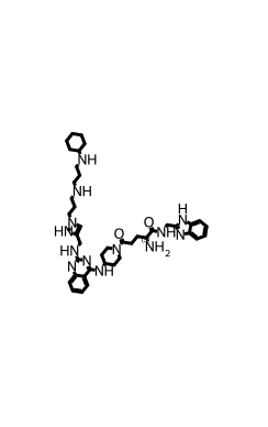 N[C@@H](CCC(=O)N1CCC(Nc2nc(NCc3cn(CCCNCCCNC4CCCCC4)[nH]3)nc3ccccc23)CC1)C(=O)NCc1nc2ccccc2[nH]1